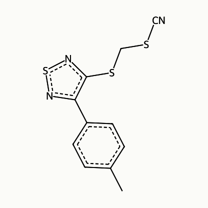 Cc1ccc(-c2nsnc2SCSC#N)cc1